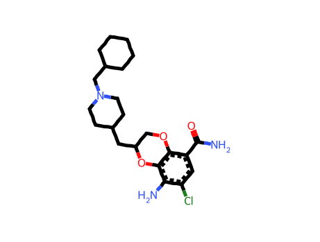 NC(=O)c1cc(Cl)c(N)c2c1OCC(CC1CCN(CC3CCCCC3)CC1)O2